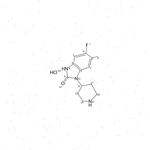 Cc1cc2c(cc1F)[nH]c(=O)n2C1CCNCC1.Cl